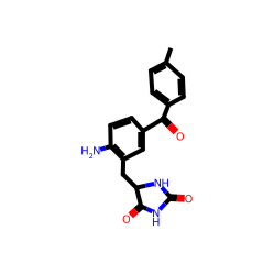 Cc1ccc(C(=O)c2ccc(N)c(CC3NC(=O)NC3=O)c2)cc1